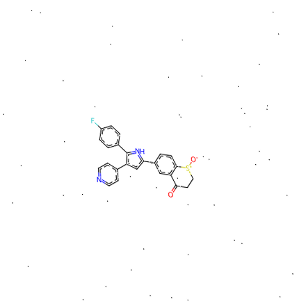 O=C1CC[S+]([O-])c2ccc(-c3cc(-c4ccncc4)c(-c4ccc(F)cc4)[nH]3)cc21